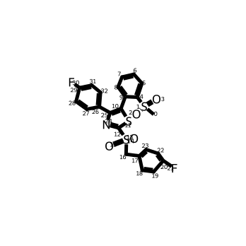 CS(=O)(=O)c1ccccc1-c1sc(S(=O)(=O)Cc2ccc(F)cc2)nc1-c1ccc(F)cc1